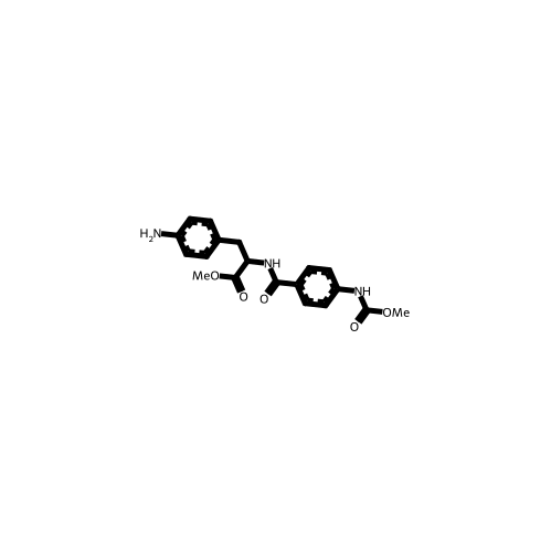 COC(=O)Nc1ccc(C(=O)NC(Cc2ccc(N)cc2)C(=O)OC)cc1